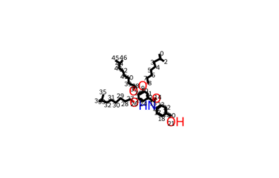 CC(C)CCCCCCOc1cc(C(=O)Nc2ccc(CO)cc2)cc(OCCCCCCC(C)C)c1OCCCCCCC(C)C